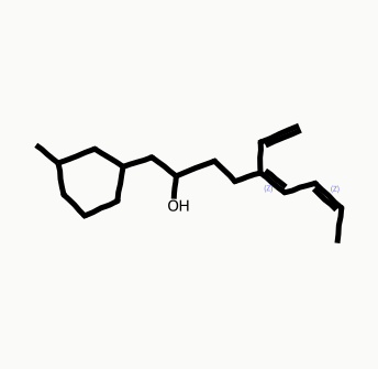 C=C/C(=C\C=C/C)CCC(O)CC1CCCC(C)C1